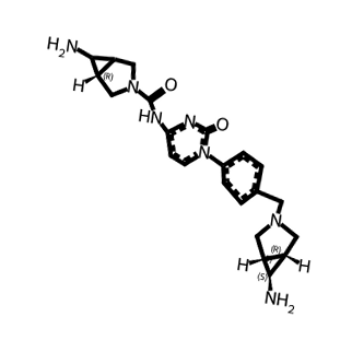 NC1C2CN(C(=O)Nc3ccn(-c4ccc(CN5C[C@@H]6[C@@H](N)[C@@H]6C5)cc4)c(=O)n3)C[C@H]12